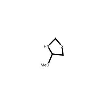 COC1CS[CH]N1